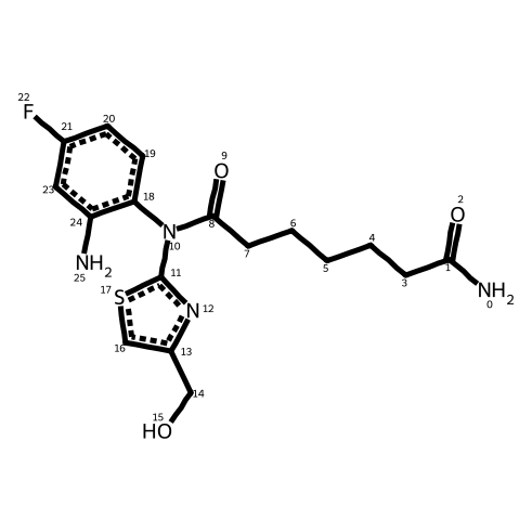 NC(=O)CCCCCC(=O)N(c1nc(CO)cs1)c1ccc(F)cc1N